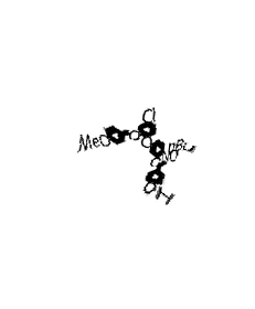 CCCCC(=O)N(CC(=O)c1ccc(O)cc1)c1ccc(Oc2ccc(Cl)cc2OCc2ccc(OC)cc2)cc1